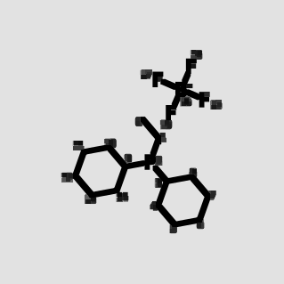 C[CH]P(C1CCCCC1)C1CCCCC1.F[B-](F)(F)F